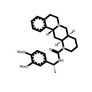 COc1ccc([C@@H](C)NC(=O)N2CCC[C@@H]3CN4CCc5ccccc5[C@H]4C[C@@H]32)cc1OC